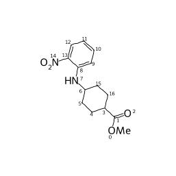 COC(=O)C1CCC(Nc2ccccc2[N+](=O)[O-])CC1